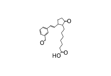 O=Cc1cccc(C=CC2CCC(=O)C2CCCCCCC(=O)O)c1